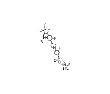 CCOC(=O)c1cn(C2CC2)c2cc(N3CCN(c4ccc(N5C[C@H](CNC(=S)NC)OC5=O)cc4F)CC3)c(F)cc2c1=O